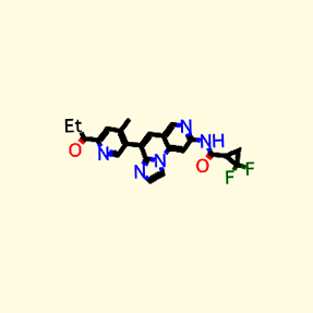 CCC(=O)c1cc(C)c(-c2cc3cnc(NC(=O)C4CC4(F)F)cc3n3ccnc23)cn1